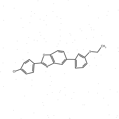 CCSc1cccc(-c2ccc3oc(-c4ccc(Cl)cc4)nc3c2)c1